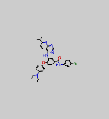 CCN(CC)c1ccc(Oc2ccc(C(=O)Nc3ccc(Br)cc3)cc2Nc2ncnc3nc(C(C)C)ccc23)cc1